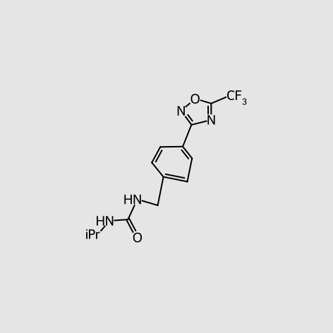 CC(C)NC(=O)NCc1ccc(-c2noc(C(F)(F)F)n2)cc1